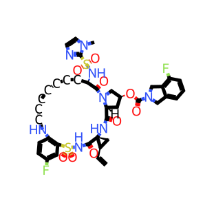 C=C[C@@H]1C[C@@]12NC(=O)[C@@H]1C[C@@H](OC(=O)N3Cc4cccc(F)c4C3)CN1C(=O)[C@@H](NS(=O)(=O)c1nccn1C)CCCCCCCNc1ccc(F)cc1S(=O)(=O)NC2=O